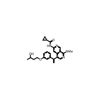 C=C(c1cccc(OCCC(C)O)c1)c1cnc(NC)c2cnc(NC(=O)C3CC3)cc12